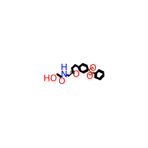 O=C(CO)NC[C@H]1CCc2ccc(S(=O)(=O)c3ccccc3)cc2O1